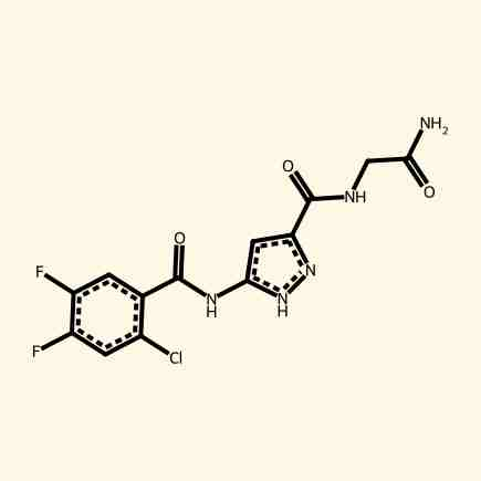 NC(=O)CNC(=O)c1cc(NC(=O)c2cc(F)c(F)cc2Cl)[nH]n1